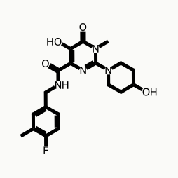 Cc1cc(CNC(=O)c2nc(N3CCC(O)CC3)n(C)c(=O)c2O)ccc1F